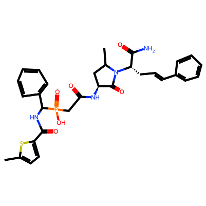 Cc1ccc(C(=O)NC(c2ccccc2)P(=O)(O)CC(=O)N[C@H]2CC(C)N([C@@H](C/C=C/c3ccccc3)C(N)=O)C2=O)s1